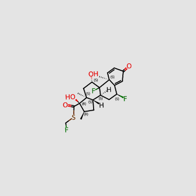 C[C@@H]1C[C@H]2[C@@H]3C[C@H](F)C4=CC(=O)C=C[C@]4(C)C3(F)[C@@H](O)C[C@]2(C)[C@@]1(O)C(=O)SCF